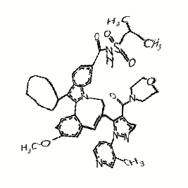 COc1ccc2c(c1)C=C(c1c(C(=O)N3CCOCC3)cnn1-c1ccncc1C)Cn1c-2c(C2CCCCC2)c2ccc(C(=O)NS(=O)(=O)C(C)C)cc21